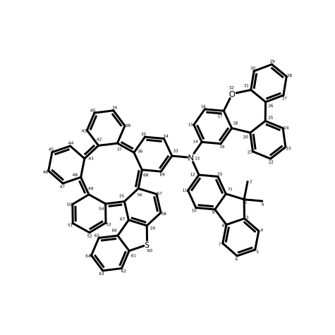 CC1(C)c2ccccc2-c2ccc(N(c3ccc4c(c3)-c3ccccc3-c3ccccc3O4)c3ccc4c5ccccc5c5ccccc5c5ccccc5c5c(ccc6sc7ccccc7c65)c4c3)cc21